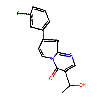 CC(O)c1cnc2cc(-c3cccc(F)c3)ccn2c1=O